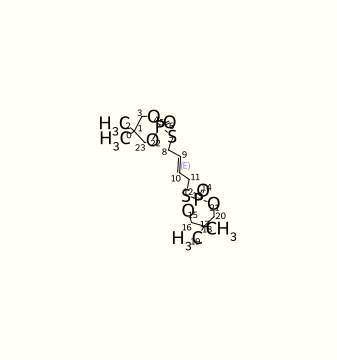 CC1(C)COP(=O)(SC/C=C/CSP2(=O)OCC(C)(C)CO2)OC1